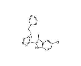 Cc1c(C2=NN=C[SH]2CCc2ccccc2)[nH]c2ccc(Cl)cc12